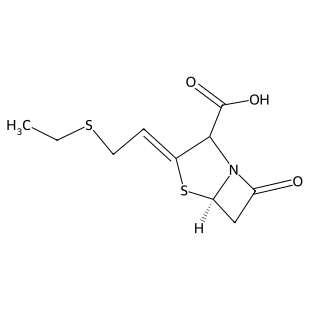 CCSC/C=C1\S[C@@H]2CC(=O)N2C1C(=O)O